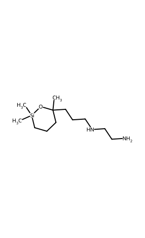 CC1(CCCNCCN)CCC[Si](C)(C)O1